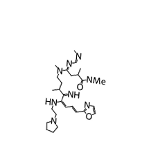 C/N=C\N=C(/CC(C)C(=O)NC)N(C)CCC(C)C(=N)/C(=C\C=C\c1ncco1)NCCN1CCCC1